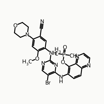 COc1cc(N2CCOCC2)c(C#N)cc1Nc1ncc(Br)c(Nc2ccc3nccnc3c2OP(C)(C)=O)n1